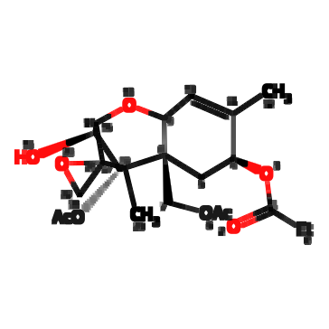 CCC(=O)O[C@H]1C[C@@]2(COC(C)=O)C(C=C1C)OC1[C@H](O)[C@@H](OC(C)=O)C2(C)C12CO2